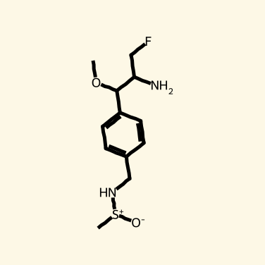 COC(c1ccc(CN[S+](C)[O-])cc1)C(N)CF